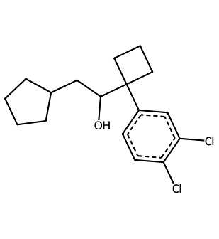 OC(CC1CCCC1)C1(c2ccc(Cl)c(Cl)c2)CCC1